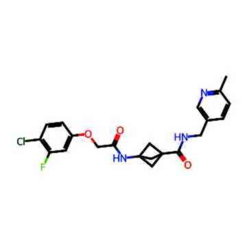 Cc1ccc(CNC(=O)C23CC(NC(=O)COc4ccc(Cl)c(F)c4)(C2)C3)cn1